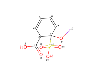 O=C(O)C1C=CC=CC1(OI)S(=O)(=O)O